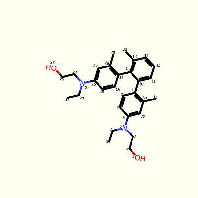 CCN(CCO)c1ccc(-c2cccc(C)c2-c2ccc(N(CC)CCO)cc2C)c(C)c1